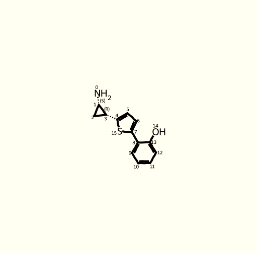 N[C@H]1C[C@H]1c1ccc(-c2ccccc2O)s1